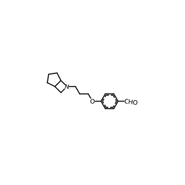 O=Cc1ccc(OCCCN2CC3CCCC32)cc1